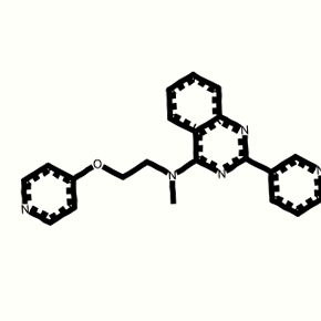 CN(CCOc1ccncc1)c1nc(-c2cccnc2)nc2ccccc12